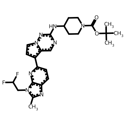 Cc1nc2ccc(-c3ccn4nc(NC5CCN(C(=O)OC(C)(C)C)CC5)ncc34)nc2n1CC(F)F